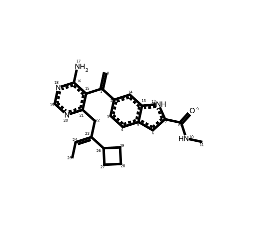 C=C(c1ccc2cc(C(=O)NC)[nH]c2c1)c1c(N)ncnc1C/C(=C/C)C1CCC1